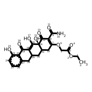 CCOC(=O)COC1=C(C(N)=O)C(=O)[C@@]2(O)C(O)=C3C(=O)c4c(O)cccc4CC3CC2C1